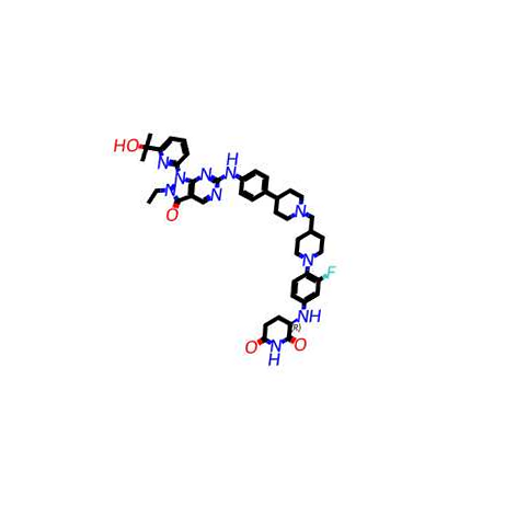 CCn1c(=O)c2cnc(Nc3ccc(C4CCN(CC5CCN(c6ccc(N[C@@H]7CCC(=O)NC7=O)cc6F)CC5)CC4)cc3)nc2n1-c1cccc(C(C)(C)O)n1